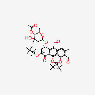 CC(=O)OC1C(C)OC(O[C@H]2C[C@H](O[Si](C)(C)C(C)(C)C)C(=O)c3c2c(C=O)c2cc(C)c(C=O)c4c2c3O[Si](C(C)(C)C)(C(C)(C)C)O4)CC1(C)O